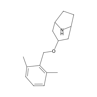 Cc1cccc(C)c1COC1CC2CCC(C1)N2